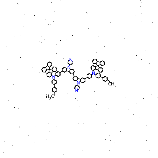 C=Cc1ccc(C2=CC=C(N(c3ccc(-c4ccc5c(c4)c4cc(-c6ccc7c(c6)c6cc(-c8ccc(N(c9ccc(-c%10ccc(C=C)cc%10)cc9)c9cccc%10c9-c9ccccc9C%109c%10ccccc%10-c%10ccccc%109)cc8)ccc6n7-c6ccncc6)ccc4n5-c4ccncc4)cc3)c3cccc4c3-c3ccccc3C43c4ccccc4-c4ccccc43)CC2)cc1